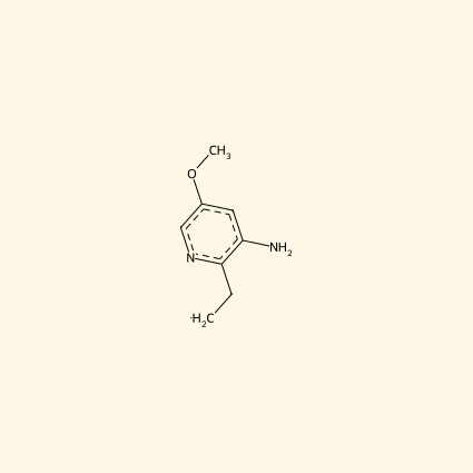 [CH2]Cc1ncc(OC)cc1N